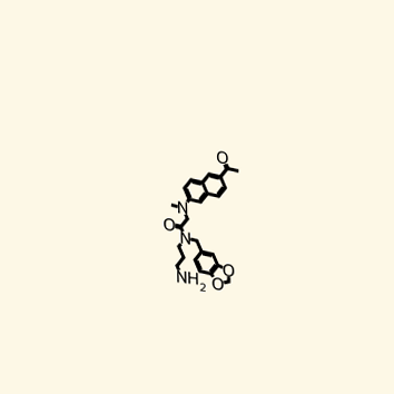 CC(=O)c1ccc2cc(N(C)CC(=O)N(CCCN)Cc3ccc4c(c3)OCO4)ccc2c1